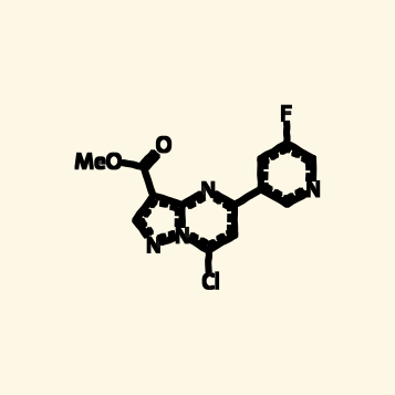 COC(=O)c1cnn2c(Cl)cc(-c3cncc(F)c3)nc12